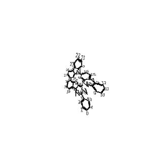 c1ccc(-c2nc(-n3c4ccccc4c4ccc(-n5c6ccccc6c6ccccc65)cc43)c3sc4ccccc4c3n2)cc1